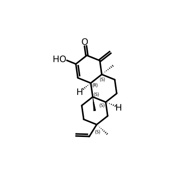 C=C[C@@]1(C)CC[C@@]2(C)[C@@H](CC[C@]3(C)C(=C)C(=O)C(O)=C[C@H]23)C1